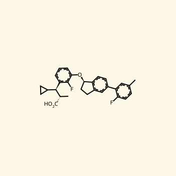 Cc1ccc(F)c(-c2ccc3c(c2)CC[C@H]3Oc2cccc([C@H](C3CC3)[C@H](C)C(=O)O)c2F)c1